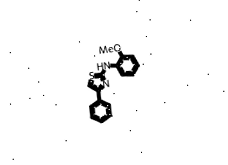 COc1ccccc1Nc1nc(-c2ccccc2)cs1